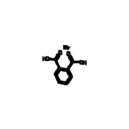 O=C(O)c1ccccc1C(=O)O.[Rb]